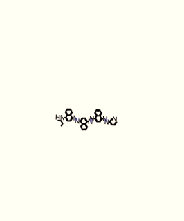 CCC(C)Nc1ccc(/N=N/c2ccc(/N=N/c3ccc(/N=N/c4cccnc4)c4ccccc34)c3ccccc23)c2ccccc12